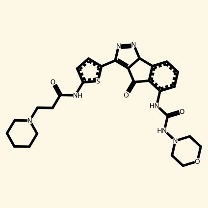 O=C(CCN1CCCCC1)Nc1ccc(C2=C3C(=O)c4c(NC(=O)NN5CCOCC5)cccc4C3N=N2)s1